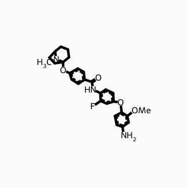 COc1cc(N)ccc1Oc1ccc(NC(=O)c2ccc(OC34CCCC(CC3)N4C)cc2)c(F)c1